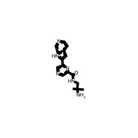 CC(C)(N)CNC(=O)c1cncc(-c2cc3ccncc3[nH]2)n1